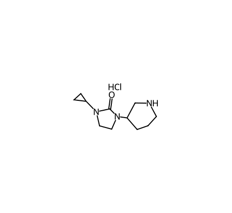 Cl.O=C1N(C2CC2)CCN1C1CCCNC1